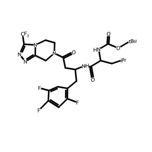 CC(C)CC(NC(=O)OC(C)(C)C)C(=O)NC(CC(=O)N1CCn2c(nnc2C(F)(F)F)C1)Cc1cc(F)c(F)cc1F